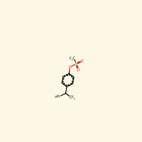 CCCC(c1ccc(OS(=O)(=O)C(F)(F)F)cc1)C(F)(F)F